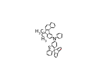 CC1(C)c2ccc(N(c3ccccc3)c3ccc4c(c3)Sc3ccccc3C43c4ccccc4-c4ccccc43)cc2-c2c1ccc1ccccc21